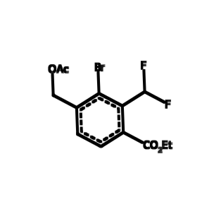 CCOC(=O)c1ccc(COC(C)=O)c(Br)c1C(F)F